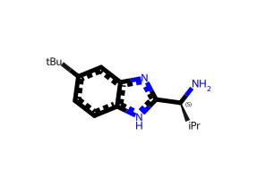 CC(C)[C@H](N)c1nc2cc(C(C)(C)C)ccc2[nH]1